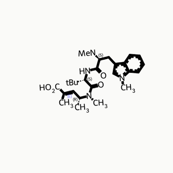 CN[C@@H](Cc1cn(C)c2ccccc12)C(=O)N[C@H](C(=O)N(C)[C@H](C)/C=C(\C)C(=O)O)C(C)(C)C